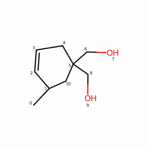 CC1C=CCC(CO)(CO)C1